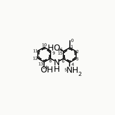 Cc1ccc(N)c(Nc2ccccc2O)c1O